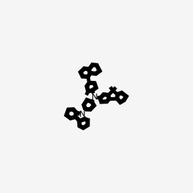 Cc1cc(-c2cccc3ccccc23)ccc1N(c1ccc(-n2c3ccccc3c3ccccc32)cc1)c1ccc2c(c1)C(C)(C)c1ccccc1-2